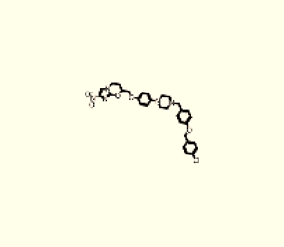 O=[N+]([O-])c1cn2c(n1)OC(COc1ccc(N3CCN(Cc4ccc(OCc5ccc(Cl)cc5)cc4)CC3)cc1)CC2